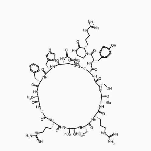 CCCCCCC(=O)N[C@@H]1CSSC[C@@H](C(=O)N[C@@H](Cc2ccc(O)cc2)C(=O)N2C[C@H](C(N)=O)NC(=O)[C@@H]2CCCNC(=N)N)NC(=O)[C@H](CO)NC(=O)[C@H]([C@@H](C)CC)NC(=O)[C@H](CCCNC(=N)N)NC(=O)[C@H](CC(=O)O)NC(=O)[C@@H](CCCC)NC(=O)[C@H](CCCNC(=N)N)NC(=O)CNC(=O)[C@@H](C)NC(=O)[C@H](Cc2ccccc2)NC(=O)[C@H](Cc2c[nH]cn2)NC1=O